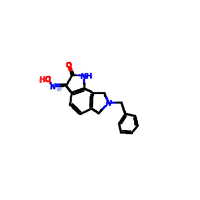 O=C1Nc2c(ccc3c2CN(Cc2ccccc2)C3)/C1=N/O